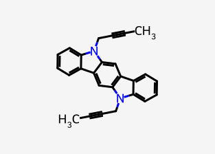 CC#CCn1c2ccccc2c2cc3c(cc21)c1ccccc1n3CC#CC